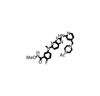 CONC(=O)c1cc(N(C)c2ccc3nc(Nc4cc(CN5CCN(C(C)=O)CC5)ccn4)sc3n2)ccc1F